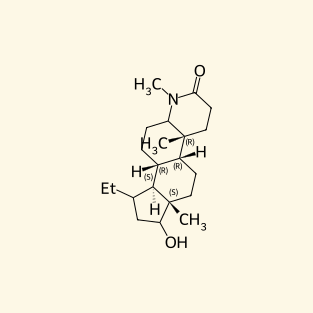 CCC1CC(O)[C@@]2(C)CC[C@@H]3[C@@H](CCC4N(C)C(=O)CC[C@@]43C)[C@H]12